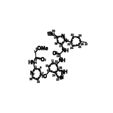 COCC(=O)Nc1cc(Oc2ccc(NC(=O)Nc3cc(C(C)(C)C)nn3-c3ccc(C)cc3)c3[nH]ncc23)ccn1